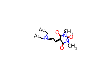 CC(=O)CN(/C=C/C=C1C(=O)N(C)C(=O)N(C)C1=O)CC(C)=O